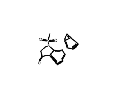 CS(=O)(=O)N1CC(=O)c2ccccc21.c1cc2cc-2c1